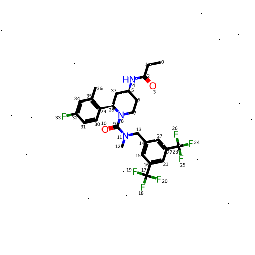 CCC(=O)N[C@H]1CCN(C(=O)N(C)Cc2cc(C(F)(F)F)cc(C(F)(F)F)c2)[C@@H](c2ccc(F)cc2C)C1